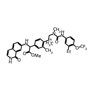 CCc1cc(NC(=O)N(C)C[C@H](C)c2ccc(C(Nc3ccc4cc[nH]c(=O)c4c3)C(=O)OC)cc2C)ccc1OC(F)(F)F